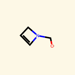 [O]CN1C=CC1